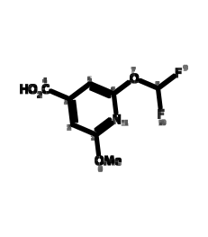 COc1cc(C(=O)O)cc(OC(F)F)n1